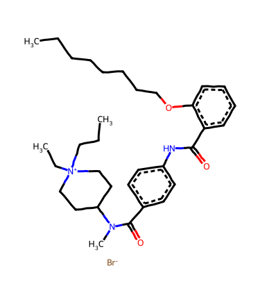 CCCCCCCCOc1ccccc1C(=O)Nc1ccc(C(=O)N(C)C2CC[N+](CC)(CCC)CC2)cc1.[Br-]